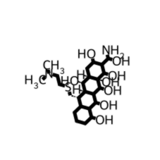 CN(C)CCSC[C@H]1C2CCCC(O)C2C(O)C2C(O)[C@]3(O)C(O)C(C(N)O)C(O)C[C@@H]3[C@@H](O)[C@@H]21